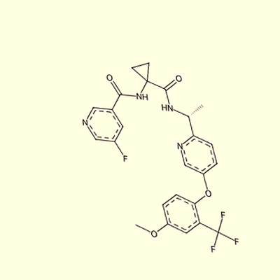 COc1ccc(Oc2ccc([C@@H](C)NC(=O)C3(NC(=O)c4cncc(F)c4)CC3)nc2)c(C(F)(F)F)c1